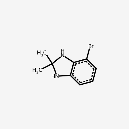 CC1(C)Nc2cccc(Br)c2N1